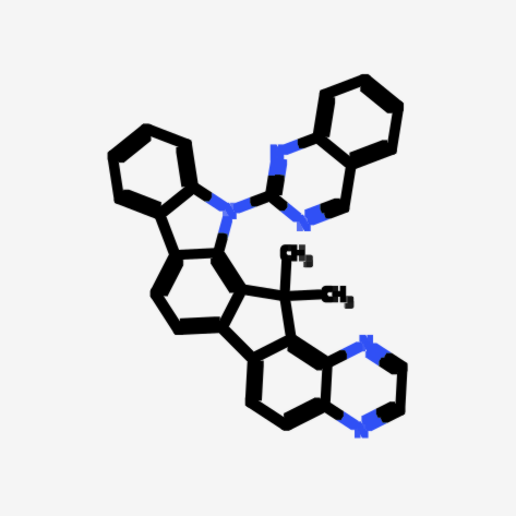 CC1(C)c2c(ccc3nccnc23)-c2ccc3c4ccccc4n(-c4ncc5ccccc5n4)c3c21